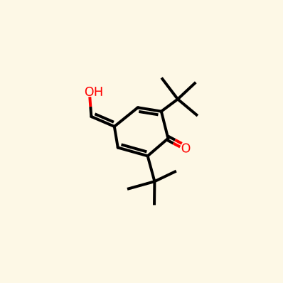 CC(C)(C)C1=CC(=CO)C=C(C(C)(C)C)C1=O